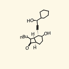 CCCCC1C(=O)[C@@H]2CC[C@H](O)[C@@H](C#C[C@@H](O)C3CCCCC3)[C@H]12